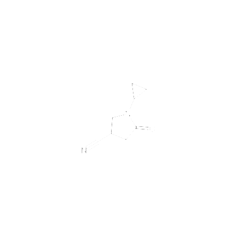 N#CC1CC(=O)N(C2CC2)C1